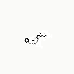 C[C@@H]1CN(Cc2ccccc2)[C@@H](C)CN1C(=O)c1nc2c(C(=O)C(=O)O)n(C)nc2cc1Cl